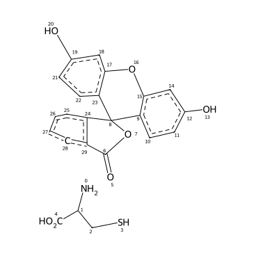 NC(CS)C(=O)O.O=C1OC2(c3ccc(O)cc3Oc3cc(O)ccc32)c2ccccc21